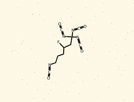 O=C=NCCCC(F)CC(N=C=O)(N=C=O)N=C=O